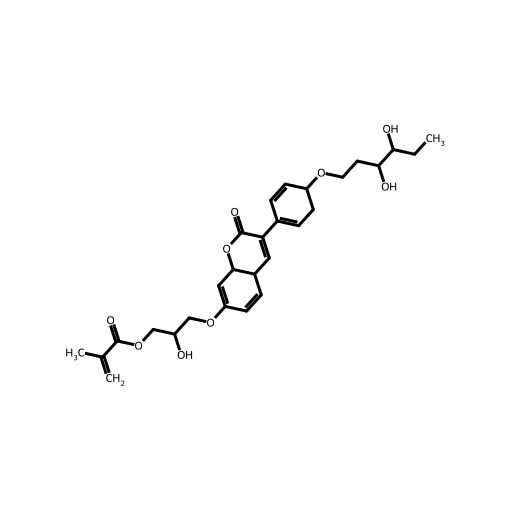 C=C(C)C(=O)OCC(O)COC1=CC2OC(=O)C(C3=CCC(OCCC(O)C(O)CC)C=C3)=CC2C=C1